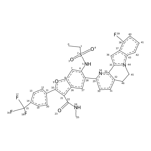 CCS(=O)(=O)Nc1cc2oc(-c3ccc(C(F)(F)F)cc3)c(C(=O)NC)c2cc1-c1ccc2c(n1)-c1cc3c(F)cccc3n1CC2